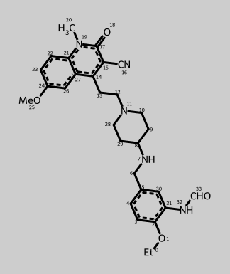 CCOc1ccc(CNC2CCN(CCc3c(C#N)c(=O)n(C)c4ccc(OC)cc34)CC2)cc1NC=O